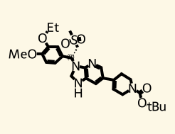 CCOc1cc([C@H](CS(C)(=O)=O)N2CNc3cc(C4=CCN(C(=O)OC(C)(C)C)CC4)cnc32)ccc1OC